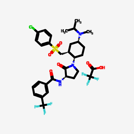 CC(C)N(C)[C@@H]1CC[C@H](N2CC[C@H](NC(=O)c3cccc(C(F)(F)F)c3)C2=O)[C@H](CS(=O)(=O)c2ccc(Cl)cc2)C1.O=C(O)C(F)(F)F